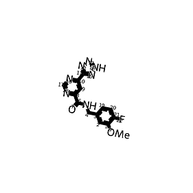 COc1cc(CNC(=O)c2cc(-c3nn[nH]n3)ncn2)ccc1F